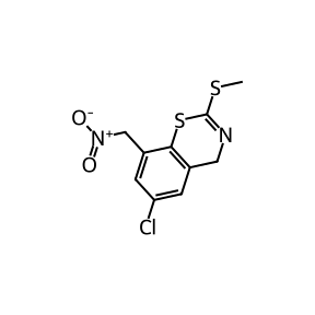 CSC1=NCc2cc(Cl)cc(C[N+](=O)[O-])c2S1